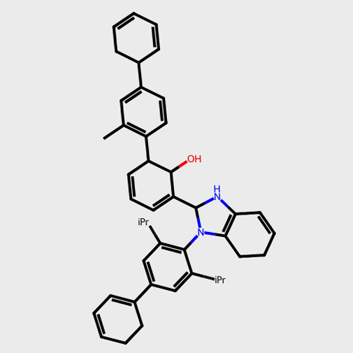 Cc1cc(C2C=CC=CC2)ccc1C1C=CC=C(C2NC3=C(CCC=C3)N2c2c(C(C)C)cc(C3=CC=CCC3)cc2C(C)C)C1O